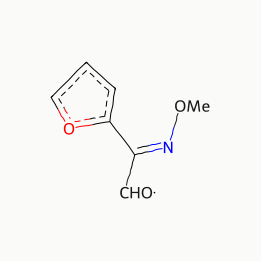 CO/N=C(/[C]=O)c1ccco1